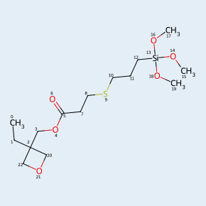 CCC1(COC(=O)CCSCCC[Si](OC)(OC)OC)COC1